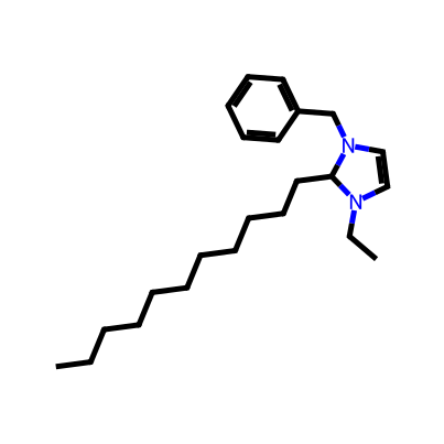 CCCCCCCCCCCC1N(CC)C=CN1Cc1ccccc1